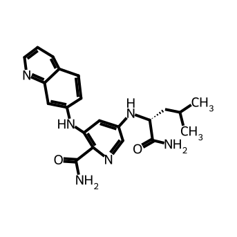 CC(C)C[C@@H](Nc1cnc(C(N)=O)c(Nc2ccc3cccnc3c2)c1)C(N)=O